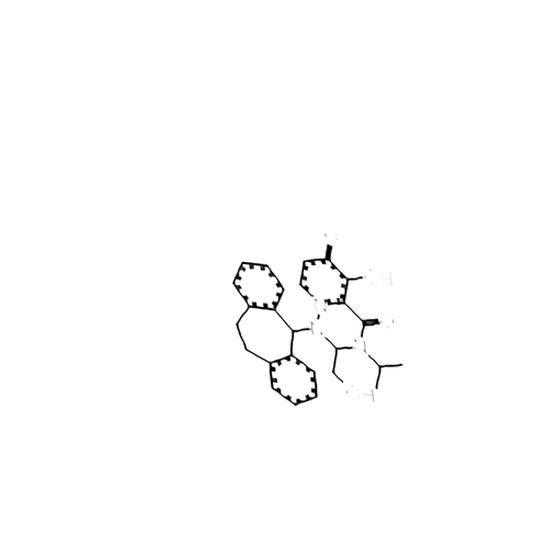 CC(C)N1C(=O)c2c(O)c(=O)ccn2N(C2c3ccccc3CCc3ccccc32)C1CO